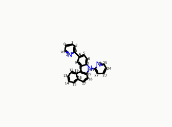 c1ccc(-c2ccc3c(c2)c2c4ccccc4ccc2n3-c2ccccn2)nc1